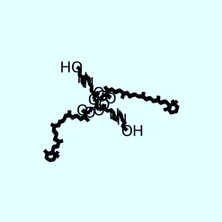 CC(C=CC=C(C)C=CC1=C(C)CCCC1(C)C)=CC=CC=C(C)C=CC=C(C)C(=O)OC[C@H](OC(=O)CCN1CCN(CCO)CC1)[C@@H](COC(=O)\C(C)=C/C=C/C(C)=C/C=C/C=C(C)/C=C/C=C(C)/C=C/C1=C(C)CCCC1(C)C)OC(=O)CCN1CCN(CCO)CC1